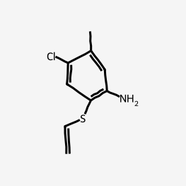 C=CSc1cc(Cl)c(C)cc1N